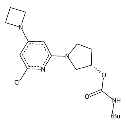 CC(C)(C)NC(=O)O[C@H]1CCN(c2cc(N3CCC3)cc(Cl)n2)C1